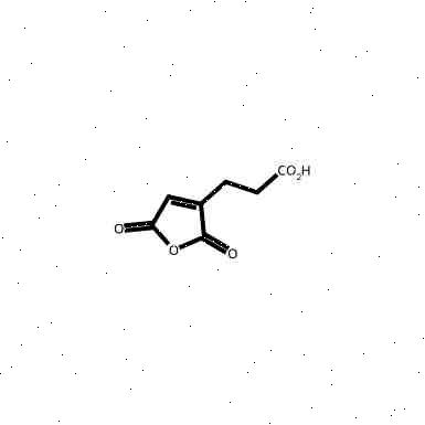 O=C(O)CCC1=CC(=O)OC1=O